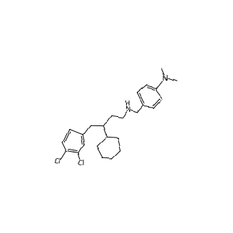 CN(C)c1ccc(CNCCC(Cc2ccc(Cl)c(Cl)c2)C2CCCCC2)cc1